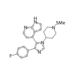 CSN1CCC(n2cnc(-c3ccc(F)cc3)c2-c2ccnc3[nH]ccc23)CC1